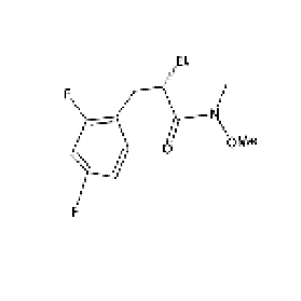 CC[C@@H](Cc1ccc(F)cc1F)C(=O)N(C)OC